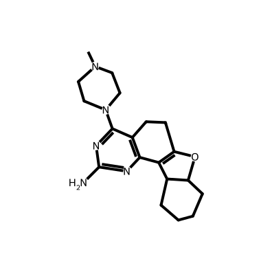 CN1CCN(c2nc(N)nc3c2CCC2=C3C3CCCCC3O2)CC1